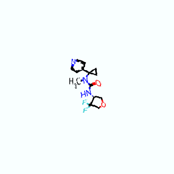 CN(C(=O)N[C@@H]1COCC1(F)F)C1(c2ccncc2)CC1